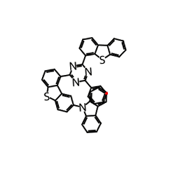 c1ccc(-c2nc(-c3cccc4c3sc3ccccc34)nc(-c3cccc4sc5ccc(-n6c7ccccc7c7ccccc76)cc5c34)n2)cc1